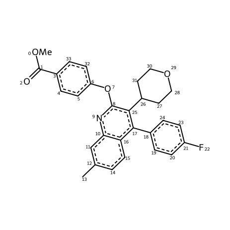 COC(=O)c1ccc(Oc2nc3cc(C)ccc3c(-c3ccc(F)cc3)c2C2CCOCC2)cc1